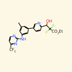 CCOC(=O)C(F)(F)C(O)c1ccc(-c2cc(C)cc(Nc3nccc(C(F)(F)F)n3)c2)cn1